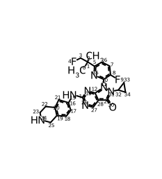 CC(C)(CF)c1ccc(F)c(-n2c3nc(Nc4ccc5c(c4)CCNC5)ncc3c(=O)n2C2CC2)n1